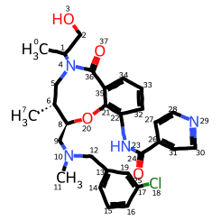 CC(CO)N1C[C@@H](C)[C@H](CN(C)Cc2cccc(Cl)c2)Oc2c(NC(=O)c3ccncc3)cccc2C1=O